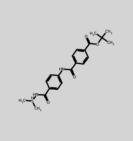 C[SH](C)NC(=O)c1ccc(NC(=O)c2ccc(C(=O)OC(C)(C)C)cc2)cc1